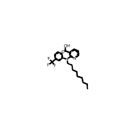 CCCCCCCCCN(c1cccc(C(F)(F)F)c1)c1ncccc1C(=O)O